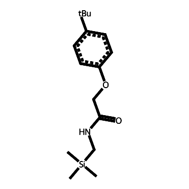 CC(C)(C)c1ccc(OCC(=O)NC[Si](C)(C)C)cc1